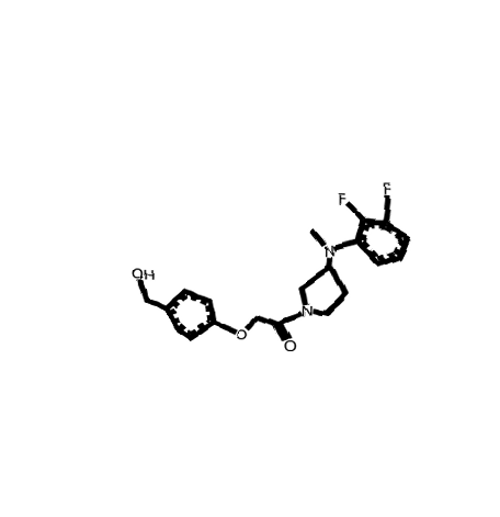 CN(c1cccc(F)c1F)C1CCN(C(=O)COc2ccc(CO)cc2)C1